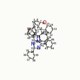 C1=CC(c2cccc3c2C2(c4ccccc4O3)c3ccccc3-c3ccccc32)=CC(C2N=C(c3ccccc3)N=C(c3ccccc3)N2)C1